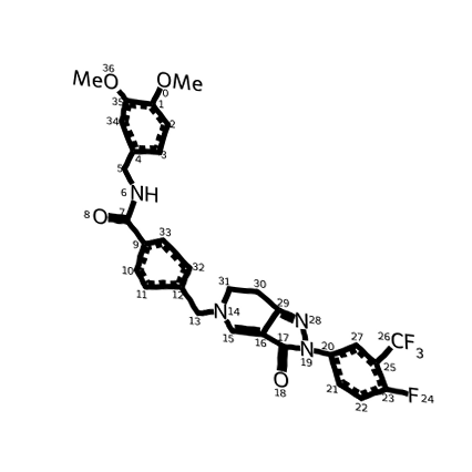 COc1ccc(CNC(=O)c2ccc(CN3C=C4C(=O)N(c5ccc(F)c(C(F)(F)F)c5)N=C4CC3)cc2)cc1OC